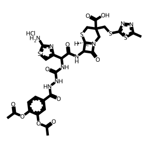 CC(=O)Oc1ccc(C(=O)NNC(=O)NC(C(=O)NC2C(=O)N3CC(CSc4nnc(C)s4)(C(=O)O)CS[C@H]23)c2csc(N)n2)cc1OC(C)=O.Cl